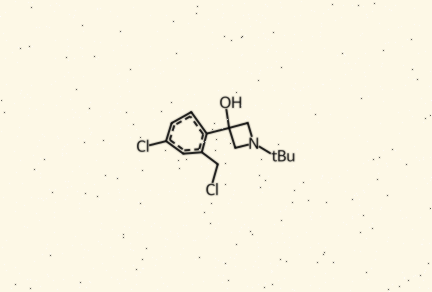 CC(C)(C)N1CC(O)(c2ccc(Cl)cc2CCl)C1